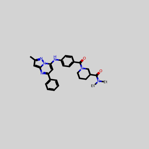 CCN(CC)C(=O)C1CCCN(C(=O)c2ccc(Nc3cc(-c4ccccc4)nc4cc(C)nn34)cc2)C1